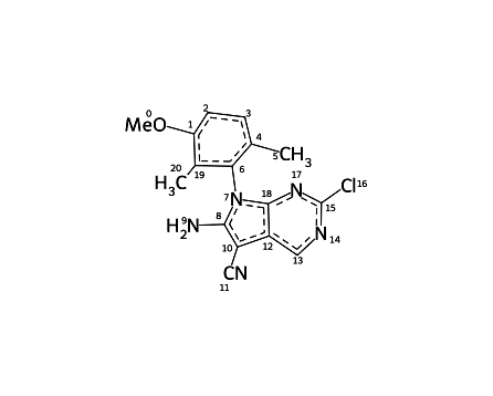 COc1ccc(C)c(-n2c(N)c(C#N)c3cnc(Cl)nc32)c1C